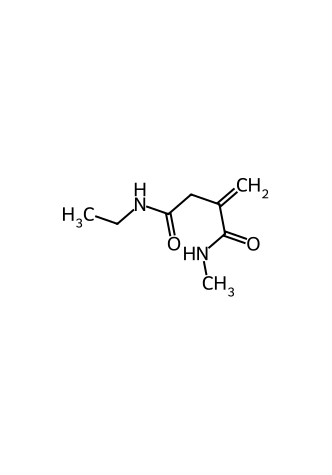 C=C(CC(=O)NCC)C(=O)NC